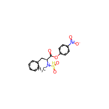 CN([C@@H](Cc1ccccc1)C(=O)Oc1ccc([N+](=O)[O-])cc1)[SH](=O)=O